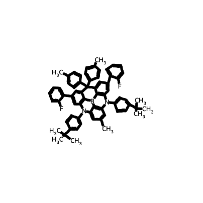 Cc1ccc(C2(c3ccc(C)cc3)c3cc(-c4ccccc4F)cc4c3B3c5c(cc(C)cc5N(c5ccc(C(C)(C)C)cc5)c5cc(-c6ccccc6F)cc2c53)N4c2ccc(C(C)(C)C)cc2)cc1